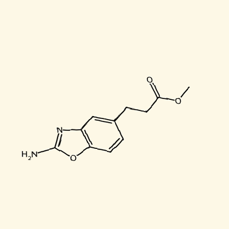 COC(=O)CCc1ccc2oc(N)nc2c1